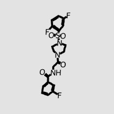 O=C(NCC(=O)N1CCN(S(=O)(=O)c2cc(F)ccc2F)CC1)c1cccc(F)c1